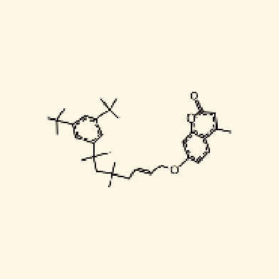 Cc1cc(=O)oc2cc(OCC=CCC(C)(C)CC(C)(C)c3cc(C(C)(C)C)cc(C(C)(C)C)c3)ccc12